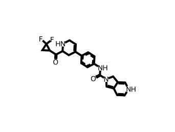 O=C(C1CC(c2ccc(NC(=O)N3C=C4C=CNC=C4C3)cc2)=CCN1)C1CC1(F)F